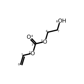 C=COC(=O)OCCO